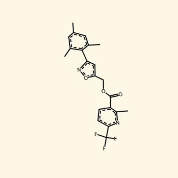 Cc1cc(C)c(-c2cc(COC(=O)c3ccc(C(F)(F)F)nc3C)on2)c(C)c1